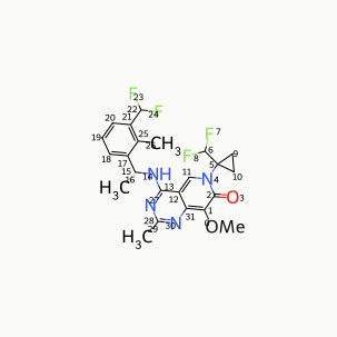 COc1c(=O)n(C2(C(F)F)CC2)cc2c(N[C@H](C)c3cccc(C(F)F)c3C)nc(C)nc12